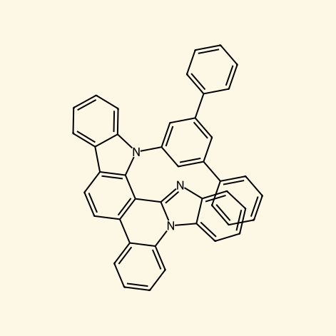 c1ccc(-c2cc(-c3ccccc3)cc(-n3c4ccccc4c4ccc5c6ccccc6n6c7ccccc7nc6c5c43)c2)cc1